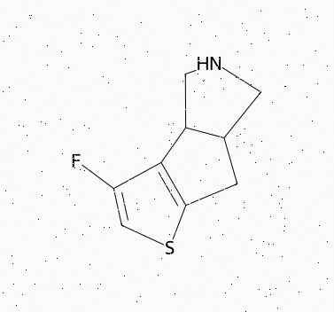 Fc1csc2c1C1CNCC1C2